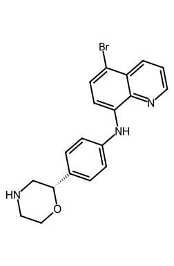 Brc1ccc(Nc2ccc([C@H]3CNCCO3)cc2)c2ncccc12